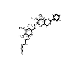 C[C@@H]1C(CO[C@@H]2OC3COC(c4ccccc4)O[C@H]3[C@H](O)C2N)O[C@@H](OCCN=[N+]=[N-])C(N)[C@H]1O